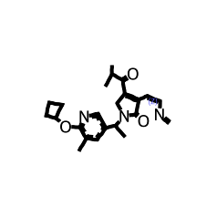 C=N/C=C\C1=C(C(=O)C(C)C)CN(C(C)c2cnc(OC3CCC3)c(C)c2)C1=O